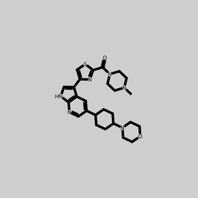 CN1CCN(C(=O)c2nc(-c3c[nH]c4ncc(C5CCC(N6CCOCC6)CC5)cc34)cs2)CC1